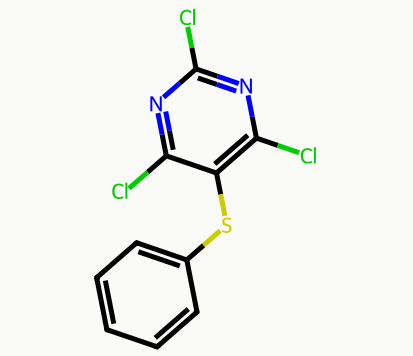 Clc1nc(Cl)c(Sc2ccccc2)c(Cl)n1